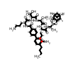 CCCCc1ccc(-c2ccc(C(=O)N[C@@H](CCCN)C(=O)N[C@H](C(=O)N[C@@H](C)C(=O)N[C@@H](CCCCN)C(=O)N[C@@H](C)B3OC4C[C@@H]5C[C@@H](C5(C)C)[C@]4(C)O3)[C@@H](C)O)cc2)cc1